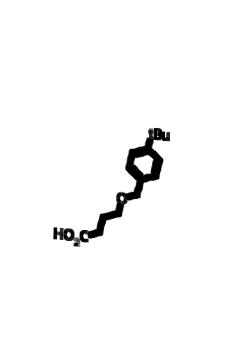 CC(C)(C)c1ccc(COCCCC(=O)O)cc1